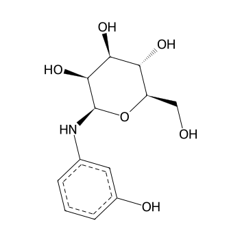 OC[C@H]1O[C@@H](Nc2cccc(O)c2)[C@@H](O)[C@@H](O)[C@@H]1O